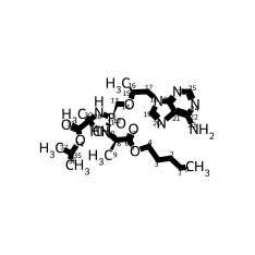 CCCCCOC(=O)[C@@H](C)N[P@](=O)(CO[C@H](C)Cn1cnc2c(N)ncnc21)NC(C)(C)C(=O)OC(C)C